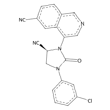 N#Cc1ccc2cncc(N3C(=O)N(c4cccc(Cl)c4)C[C@H]3C#N)c2c1